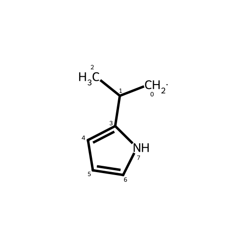 [CH2]C(C)c1ccc[nH]1